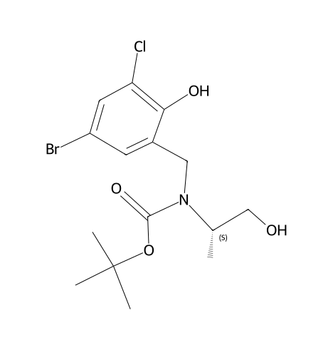 C[C@@H](CO)N(Cc1cc(Br)cc(Cl)c1O)C(=O)OC(C)(C)C